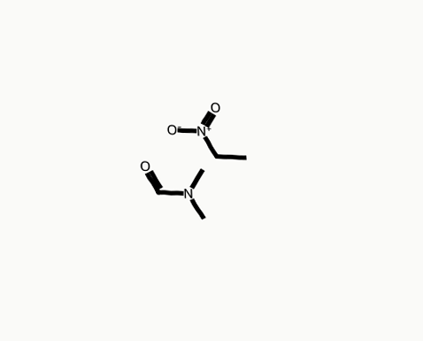 CC[N+](=O)[O-].CN(C)C=O